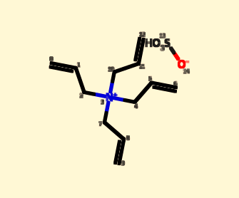 C=CC[N+](CC=C)(CC=C)CC=C.O=S(=O)([O-])O